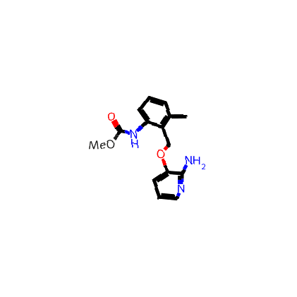 COC(=O)Nc1cccc(C)c1COc1cccnc1N